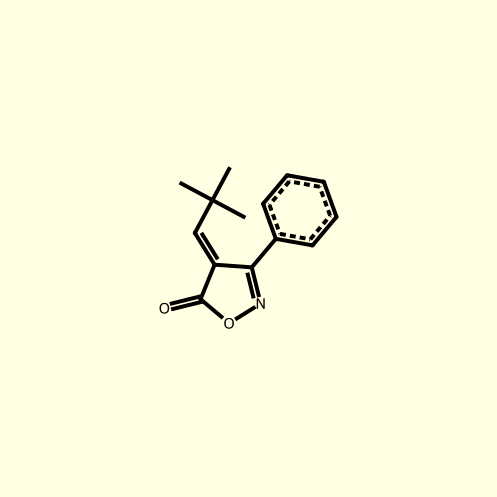 CC(C)(C)/C=C1/C(=O)ON=C1c1ccccc1